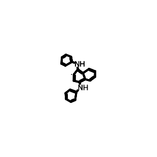 [c]1cc(Nc2ccccc2)c2ccccc2c1Nc1ccccc1